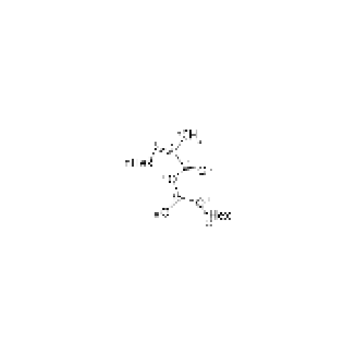 CCCCCCC=C(C)C(=O)OC(=O)OCCCCCC